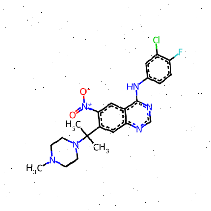 CN1CCN(C(C)(C)c2cc3ncnc(Nc4ccc(F)c(Cl)c4)c3cc2[N+](=O)[O-])CC1